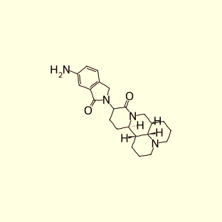 Nc1ccc2c(c1)C(=O)N(C1CC[C@@H]3[C@H]4CCCN5CCC[C@@H](CN3C1=O)[C@@H]45)C2